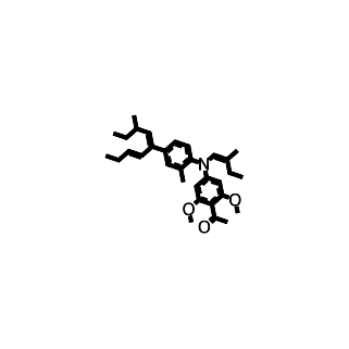 CC/C=C/C(=C\C(C)CC)c1ccc(N(/C=C(/C)CC)c2cc(OC)c(C(C)=O)c(OC)c2)c(C)c1